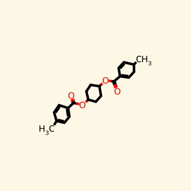 Cc1ccc(C(=O)OC2CCC(OC(=O)C3=CCC(C)C=C3)CC2)cc1